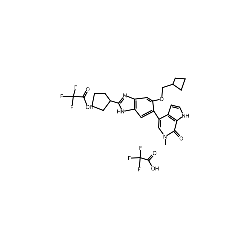 Cn1cc(-c2cc3[nH]c(C4CCCC4)nc3cc2OCC2CCC2)c2cc[nH]c2c1=O.O=C(O)C(F)(F)F.O=C(O)C(F)(F)F